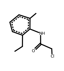 CCc1cccc(C)c1NC(=O)CCl